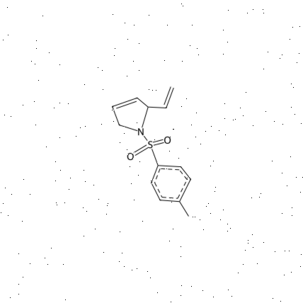 C=CC1C=CCN1S(=O)(=O)c1ccc(C)cc1